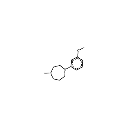 COc1cccc(N2CCCN(C)CC2)c1